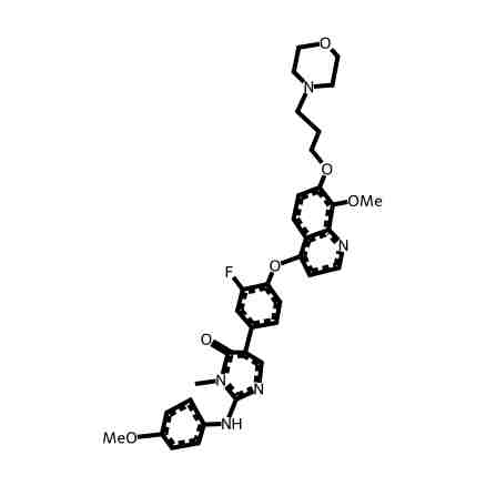 COc1ccc(Nc2ncc(-c3ccc(Oc4ccnc5c(OC)c(OCCCN6CCOCC6)ccc45)c(F)c3)c(=O)n2C)cc1